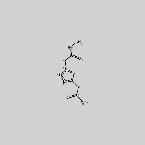 NNC(=O)Cn1nnc(CC(N)=O)n1